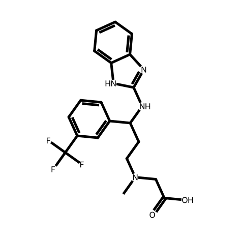 CN(CCC(Nc1nc2ccccc2[nH]1)c1cccc(C(F)(F)F)c1)CC(=O)O